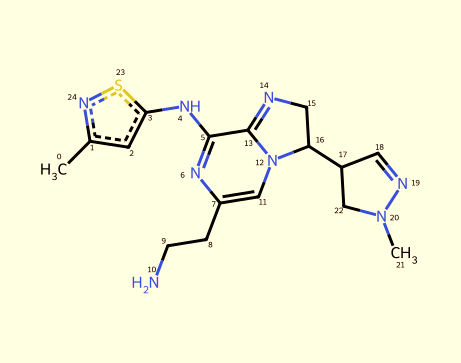 Cc1cc(NC2=NC(CCN)=CN3C2=NCC3C2C=NN(C)C2)sn1